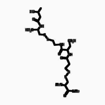 CNC(=O)C(CSSCCC(=O)NC(CC(=O)O)C(=O)NCCSSCC(NC(=O)CC(C)O)C(=O)O)NC